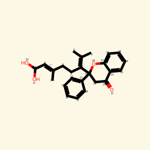 CC(C)=C(CC/C(C)=C/C(O)O)C1(c2ccccc2)CC(=O)c2ccccc2O1